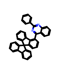 c1ccc(-c2nc(-c3cccc4c3-c3ccccc3C43c4ccccc4-c4ccccc43)c3ccccc3n2)cc1